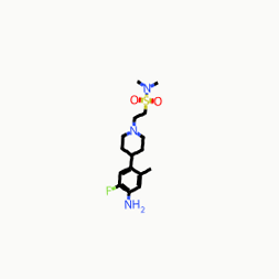 Cc1cc(N)c(F)cc1C1CCN(CCS(=O)(=O)N(C)C)CC1